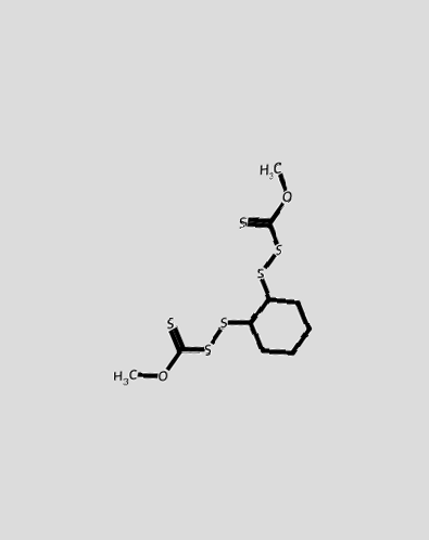 COC(=S)SSC1CCCCC1SSC(=S)OC